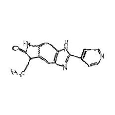 CC1C(=O)Nc2cc3[nH]c(-c4ccncc4)nc3cc21